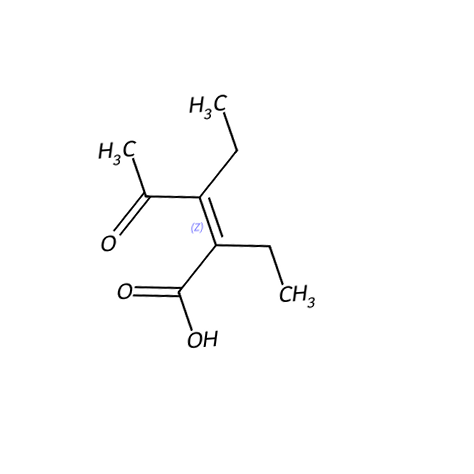 CC/C(C(C)=O)=C(\CC)C(=O)O